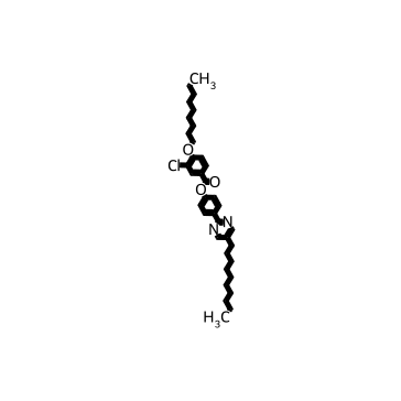 CCCCCCCCCCc1cnc(-c2ccc(OC(=O)c3ccc(OCCCCCCCCC)c(Cl)c3)cc2)nc1